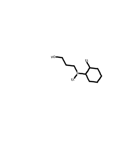 CCC1CCCCC1N(CC)CCCO